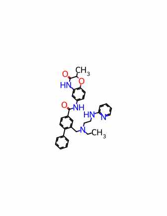 CCN(CCNc1ccccn1)Cc1cc(C(=O)Nc2ccc3c(c2)NC(=O)C(C)O3)ccc1-c1ccccc1